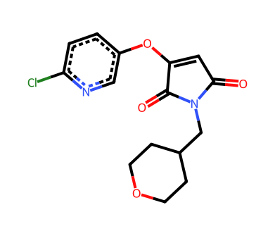 O=C1C=C(Oc2ccc(Cl)nc2)C(=O)N1CC1CCOCC1